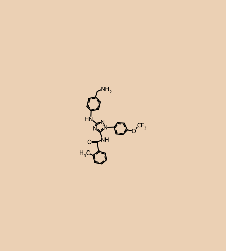 Cc1ccccc1C(=O)Nc1nc(Nc2ccc(CN)cc2)nn1-c1ccc(OC(F)(F)F)cc1